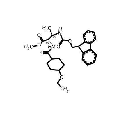 CCOC1CCC(C(=O)N[C@H](C(=O)OC)[C@@H](C)NC(=O)OCC2c3ccccc3-c3ccccc32)CC1